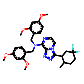 COc1ccc(CN(Cc2ccc(OC)cc2OC)c2nccn3c(C4CC(F)(F)CCC4C)nnc23)c(OC)c1